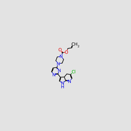 C=CCOC(=O)N1CCN(c2ccnc(C3=CNC4=NC=C(Cl)CC34)n2)CC1